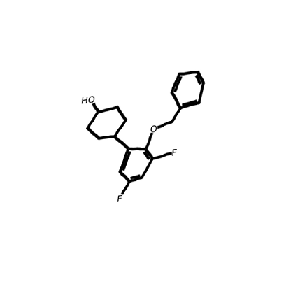 OC1CCC(c2cc(F)cc(F)c2OCc2ccccc2)CC1